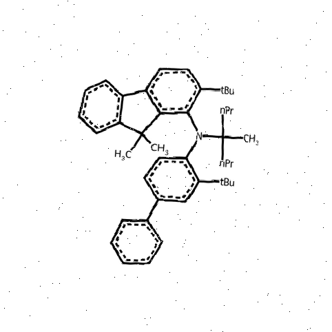 CCCC(C)(CCC)N(c1ccc(-c2ccccc2)cc1C(C)(C)C)c1c(C(C)(C)C)ccc2c1C(C)(C)c1ccccc1-2